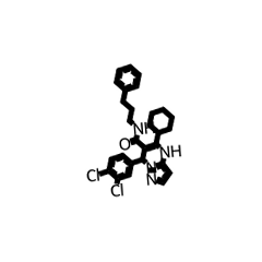 O=C(NCCCc1ccccc1)C1=C(C2CCCCC2)Nc2ccnn2C1c1ccc(Cl)c(Cl)c1